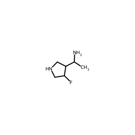 CC(N)C1CNCC1F